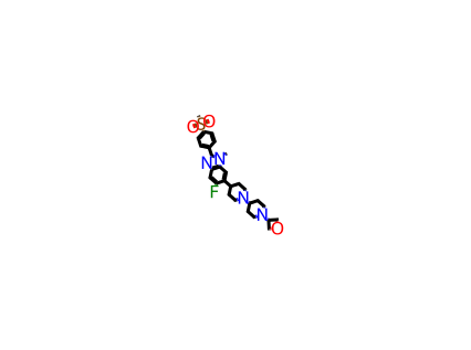 Cn1c(-c2ccc(S(C)(=O)=O)cc2)nc2cc(F)c(C3CCN(C4CCN(C5COC5)CC4)CC3)cc21